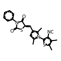 [C-]#[N+]c1c(-n2c(C)cc(C=C3SC(=O)N(c4ccccc4)C3=O)c2C)sc(C)c1C